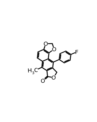 Cc1c2c(c(-c3ccc(F)cc3)c3c4c(ccc13)OCO4)COC2=O